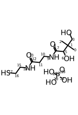 CC(C)(CO)C(O)C(=O)NCCC(=O)NCCS.O=P(O)(O)O